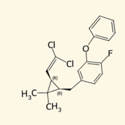 CC1(C)[C@H](Cc2ccc(F)c(Oc3ccccc3)c2)[C@@H]1C=C(Cl)Cl